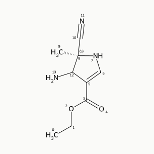 CCOC(=O)C1=CN[C@](C)(C#N)C1N